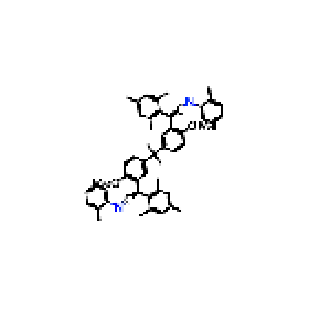 COc1ccc(C(C)(C)c2ccc(OC)c(C(=C=Nc3ccccc3C)c3c(C)cc(C)cc3C)c2)cc1C(=C=Nc1ccccc1C)c1c(C)cc(C)cc1C